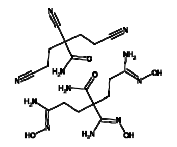 N#CCCC(C#N)(CCC#N)C(N)=O.NC(=O)C(CCC(N)=NO)(CCC(N)=NO)C(N)=NO